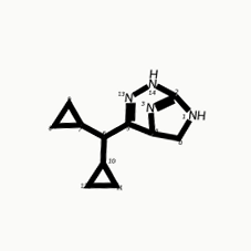 C1NC2=NC1C(C(C1CC1)C1CC1)=NN2